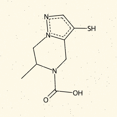 CC1Cn2ncc(S)c2CN1C(=O)O